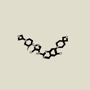 F[C@H]1CN(C2COC2)CC[C@@H]1n1ncc(Nc2ncc3cc(Cl)c(N4CCC5(CC4)COC5)cc3n2)c1Cl